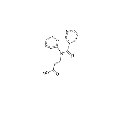 O=C(O)C=CN(C(=O)c1cccnc1)c1ccccc1